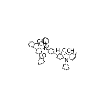 CC1(C)c2ccccc2N(c2ccccc2)c2ccc(-c3ccc(N(c4ccccc4)c4c5c(cc6c4oc4ccccc46)-c4ccccc4C5(C)C)cc3)cc21